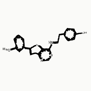 COc1cccc(C2Cc3ncnc(NCCc4ccc(O)cc4)c3S2)c1